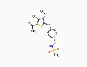 CCn1c(C)c(C(C)=O)s/c1=N\c1ccc(CNS(C)(=O)=O)cc1